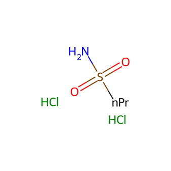 CCCS(N)(=O)=O.Cl.Cl